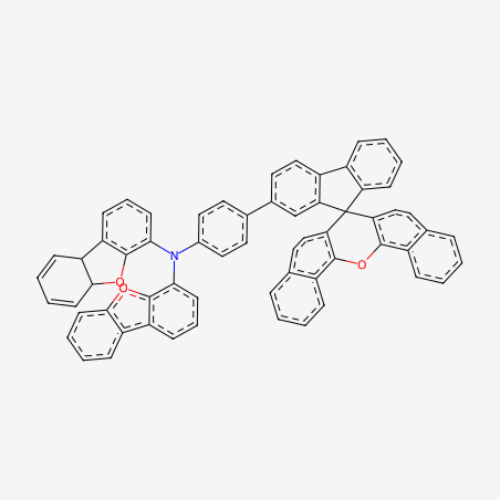 C1=CC2Oc3c(cccc3N(c3ccc(-c4ccc5c(c4)C4(c6ccccc6-5)c5ccc6ccccc6c5Oc5c4ccc4ccccc54)cc3)c3cccc4c3oc3ccccc34)C2C=C1